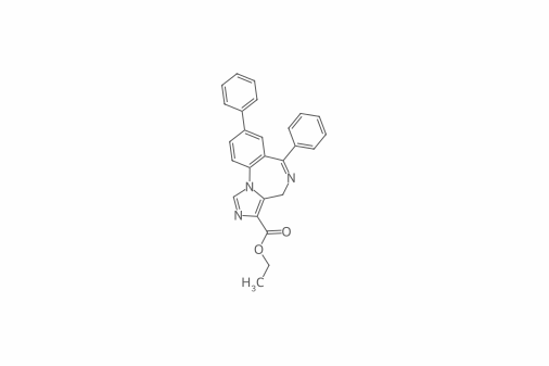 CCOC(=O)c1ncn2c1CN=C(c1ccccc1)c1cc(-c3ccccc3)ccc1-2